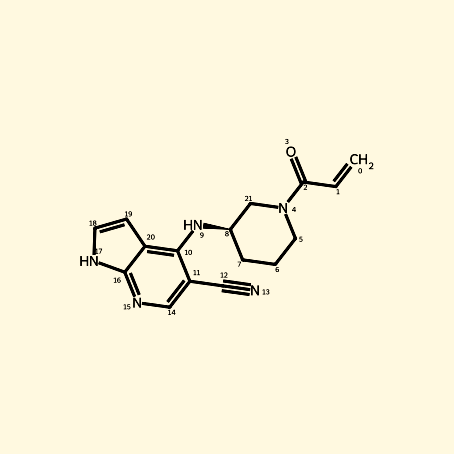 C=CC(=O)N1CCC[C@@H](Nc2c(C#N)cnc3[nH]ccc23)C1